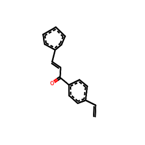 C=Cc1ccc(C(=O)/C=C/c2ccccc2)cc1